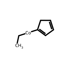 C[CH2][Co][C]1=CC=CC1